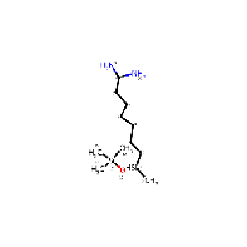 C[SiH](CCCCCCC(N)N)O[Si](C)(C)C